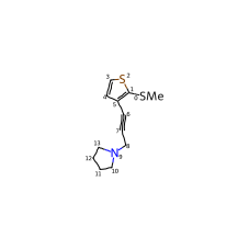 CSc1sccc1C#CCN1CCCC1